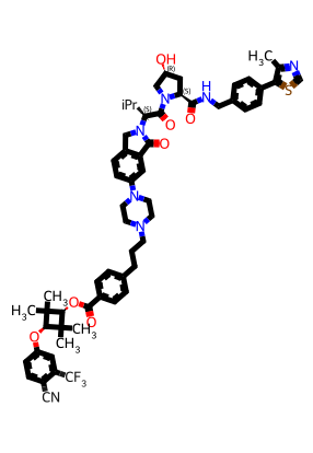 Cc1ncsc1-c1ccc(CNC(=O)[C@@H]2C[C@@H](O)CN2C(=O)[C@H](C(C)C)N2Cc3ccc(N4CCN(CCCc5ccc(C(=O)O[C@H]6C(C)(C)[C@H](Oc7ccc(C#N)c(C(F)(F)F)c7)C6(C)C)cc5)CC4)cc3C2=O)cc1